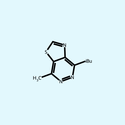 CCC(C)c1nnc(C)c2scnc12